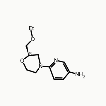 CCOC[C@H]1CN(c2ccc(N)cn2)CCO1